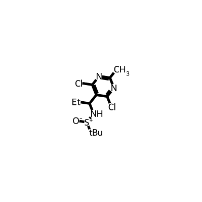 CCC(N[S+]([O-])C(C)(C)C)c1c(Cl)nc(C)nc1Cl